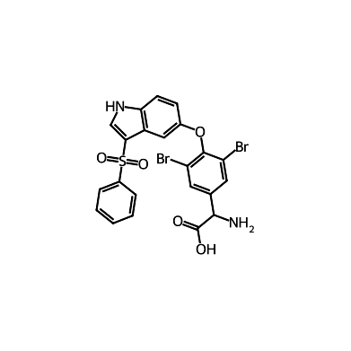 NC(C(=O)O)c1cc(Br)c(Oc2ccc3[nH]cc(S(=O)(=O)c4ccccc4)c3c2)c(Br)c1